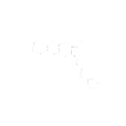 CC1(C)Oc2cc3oc(=O)ccc3cc2C[C@@H]1OC(=O)/C=C/c1ccco1